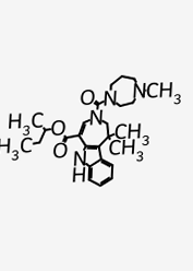 CCC(C)OC(=O)C1=CN(C(=O)N2CCCN(C)CC2)CC(C)(C)c2c1[nH]c1ccccc21